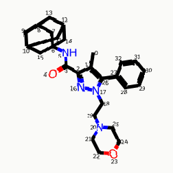 Cc1c(C(=O)NC23CC4CC(CC(C4)C2)C3)nn(CCN2CCOCC2)c1-c1ccccc1